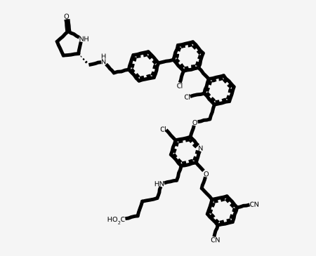 N#Cc1cc(C#N)cc(COc2nc(OCc3cccc(-c4cccc(-c5ccc(CNC[C@@H]6CCC(=O)N6)cc5)c4Cl)c3Cl)c(Cl)cc2CNCCCC(=O)O)c1